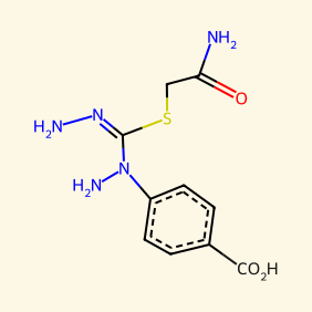 N/N=C(/SCC(N)=O)N(N)c1ccc(C(=O)O)cc1